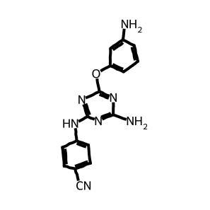 N#Cc1ccc(Nc2nc(N)nc(Oc3cccc(N)c3)n2)cc1